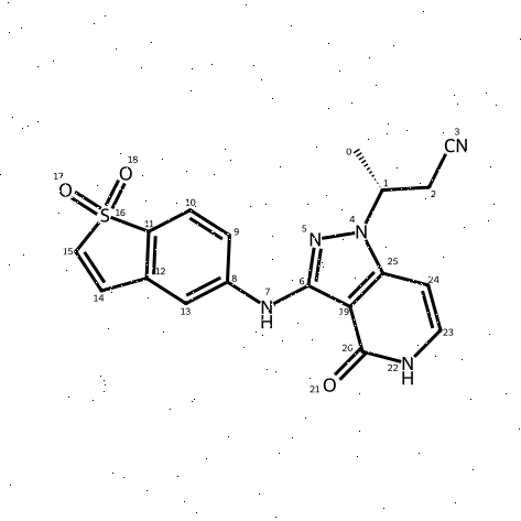 C[C@H](CC#N)n1nc(Nc2ccc3c(c2)C=CS3(=O)=O)c2c(=O)[nH]ccc21